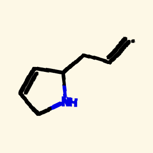 [CH]=CCC1C=CCN1